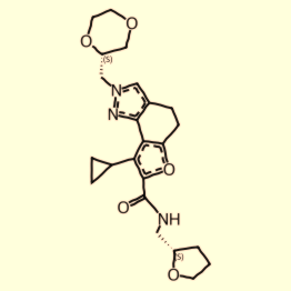 O=C(NC[C@@H]1CCCO1)c1oc2c(c1C1CC1)-c1nn(C[C@H]3COCCO3)cc1CC2